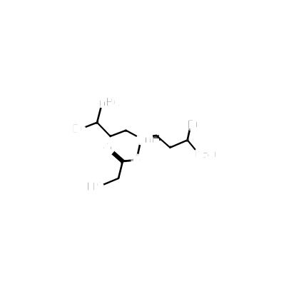 CCCCC(CC)C[CH2][SnH]([CH2]CC(CC)CCCC)[O]C(=O)CS